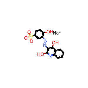 O=S(=O)([O-])c1ccc(O)c(N=Nc2c(O)nc3ccccc3c2O)c1.[Na+]